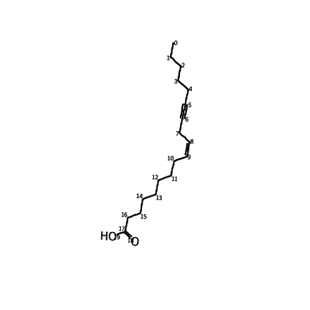 CCCCCC#CC/C=C\CCCCCCCC(=O)O